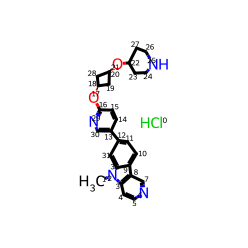 Cl.Cn1c2ccncc2c2ccc(-c3ccc(O[C@H]4C[C@H](OC5CCNCC5)C4)nc3)cc21